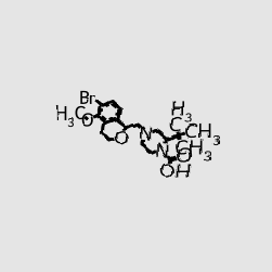 COc1c(Br)ccc2c1CCOC2CN1CCN(C(=O)O)C(C(C)(C)C)C1